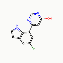 Oc1cc(-c2cc(Cl)cc3cc[nH]c23)ncn1